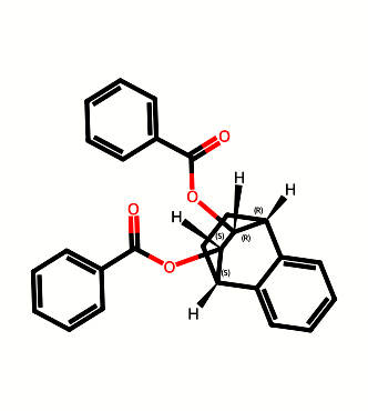 O=C(O[C@@H]1[C@H](OC(=O)c2ccccc2)[C@@H]2CC[C@H]1c1ccccc12)c1ccccc1